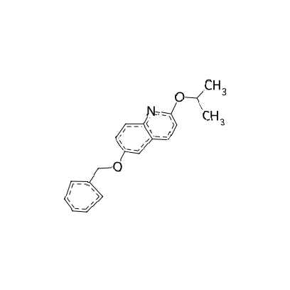 CC(C)Oc1ccc2cc(OCc3ccccc3)ccc2n1